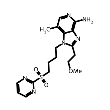 COCCc1nc2c(N)ncc(C)c2n1CCCCS(=O)(=O)c1ncccn1